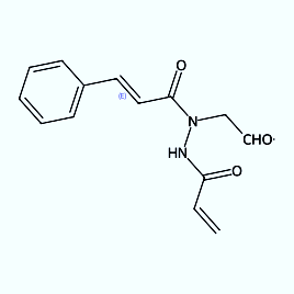 C=CC(=O)NN(C[C]=O)C(=O)/C=C/c1ccccc1